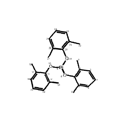 Cc1cccc(C)c1[O][Bi]([O]c1c(C)cccc1C)[O]c1c(C)cccc1C